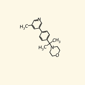 Cc1cncc(-c2ccc(C(C)(C)N3CCOCC3)cc2)c1